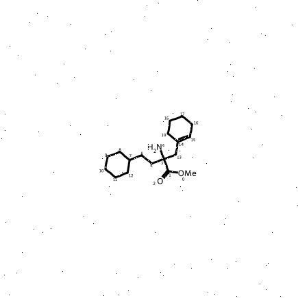 COC(=O)C(N)(CCC1CCCCC1)CC1=CCCCC1